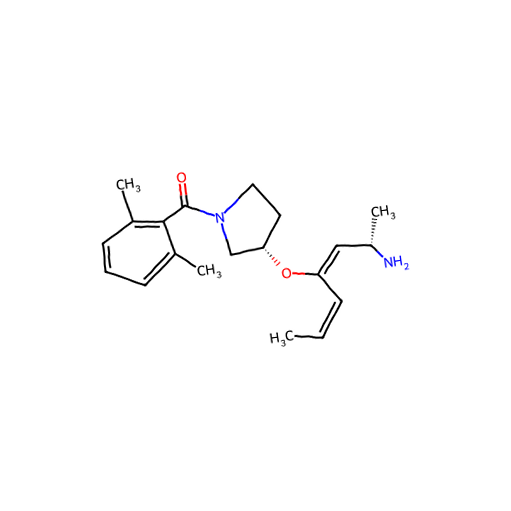 C/C=C\C(=C/[C@H](C)N)O[C@H]1CCN(C(=O)c2c(C)cccc2C)C1